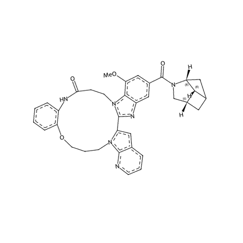 COc1cc(C(=O)N2C[C@H]3CC4C[C@@H]2[C@H]43)cc2nc3n(c12)CCC(=O)Nc1ccccc1OCCCn1c-3cc2cccnc21